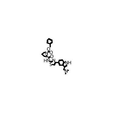 CN(C)Cc1c[nH]c2ccc(-c3csc(NC(=O)[C@@H]4CCCN4C(=O)OCc4ccccc4)n3)cc12